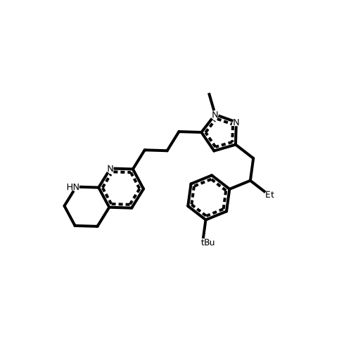 CCC(Cc1cc(CCCc2ccc3c(n2)NCCC3)n(C)n1)c1cccc(C(C)(C)C)c1